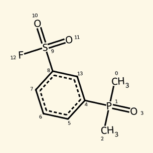 CP(C)(=O)c1cccc(S(=O)(=O)F)c1